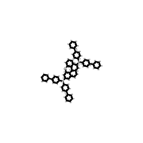 c1ccc(-c2ccc(N(c3ccc(-c4ccccc4)cc3)c3cc4c5c(ccc6cc(N(c7ccc(-c8ccccc8)cc7)c7ccc(-c8ccccc8)cc7)c7cccc(c7c65)O4)c3)cc2)cc1